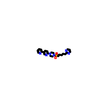 O=S(=O)(C=CCCCc1ncccn1)N1CCN(c2ccc(-c3ccccn3)cn2)CC1